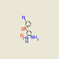 CC(=O)Nc1cc([S+]([O-])c2cccc(C#N)c2)ccc1N